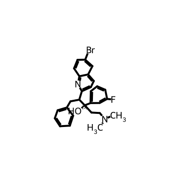 CN(C)CC[C@@](O)(c1cccc(F)c1)C(Cc1ccccc1)c1ccc2cc(Br)ccc2n1